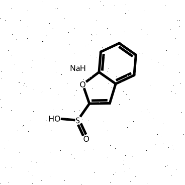 O=S(O)c1cc2ccccc2o1.[NaH]